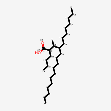 CCCCCCCCCCCC(CCCCCCCC)C(C)C(CCCC)C(=O)O